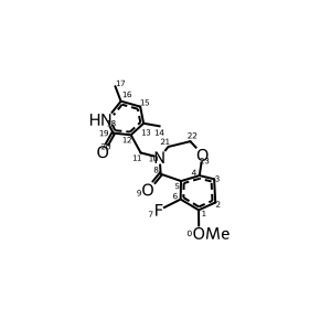 COc1ccc2c(c1F)C(=O)N(Cc1c(C)cc(C)[nH]c1=O)CCO2